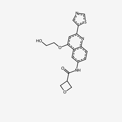 O=C(Nc1ccc2nc(-c3cncs3)cc(OCCO)c2c1)C1COC1